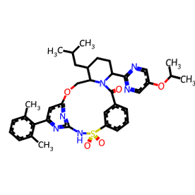 Cc1cccc(C)c1-c1cc2nc(n1)NS(=O)(=O)c1cccc(c1)C(=O)N1C(c3ncc(OC(C)C)cn3)CCC(CC(C)C)C1CO2